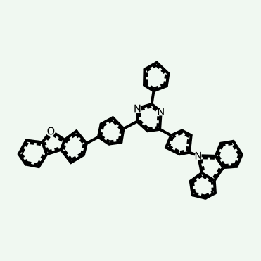 c1ccc(-c2nc(-c3ccc(-c4ccc5c(c4)oc4ccccc45)cc3)cc(-c3ccc(-n4c5ccccc5c5ccccc54)cc3)n2)cc1